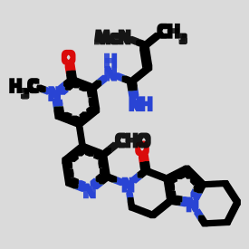 CN/C(C)=C\C(=N)Nc1cc(-c2ccnc(N3CCc4c(cc5n4CCCC5)C3=O)c2C=O)cn(C)c1=O